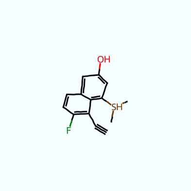 C#Cc1c(F)ccc2cc(O)cc([SH](C)C)c12